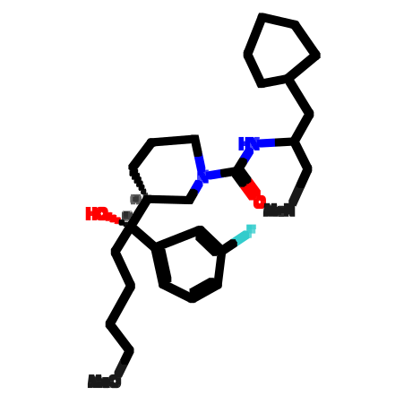 CNCC(CC1CCCCC1)NC(=O)N1CCC[C@@H]([C@](O)(CCCCOC)c2cccc(F)c2)C1